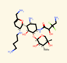 CN[C@@H]1[C@@H](O)[C@@H](O[C@H]2[C@H](NC(=O)C(O)C(F)(F)CN)C[C@H](N)C([C@H]3OC(CN)=CC[C@H]3NCCCCN)[C@@H]2O)OC[C@]1(C)O